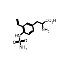 C=Cc1cc(CC(N)C(=O)O)ccc1NS(N)(=O)=O